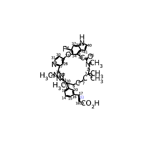 CN1CC(C)(C)CCCC[C@](C)(c2cccc(/C=C/C(=O)O)c2)c2nc(n(C)n2)-c2cc(ccn2)Oc2c(F)cc3[nH]ccc3c2CC1=O